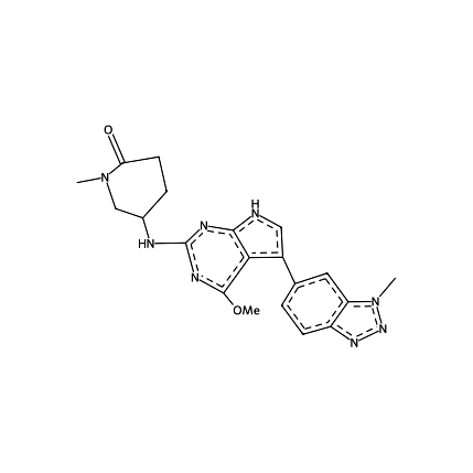 COc1nc(NC2CCC(=O)N(C)C2)nc2[nH]cc(-c3ccc4nnn(C)c4c3)c12